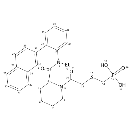 CCN(C(=O)C1CCCCN1C(=O)CSCP(=O)(O)O)c1ccccc1-c1ccc2ccccc2c1